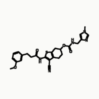 COc1cccc(CCC(=O)Nc2sc3c(c2C#N)CCC(OC(=O)NCc2cn(C)cn2)C3)c1